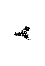 CCn1cc(F)cc(N2C[C@@H](c3c(F)cc(OC)cc3F)[C@H](NC(=O)c3ccc(OC(F)F)cc3)C2=O)c1=O